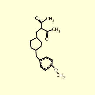 COc1ccc(CC2CCC(CC(C(C)=O)C(C)=O)CC2)cc1